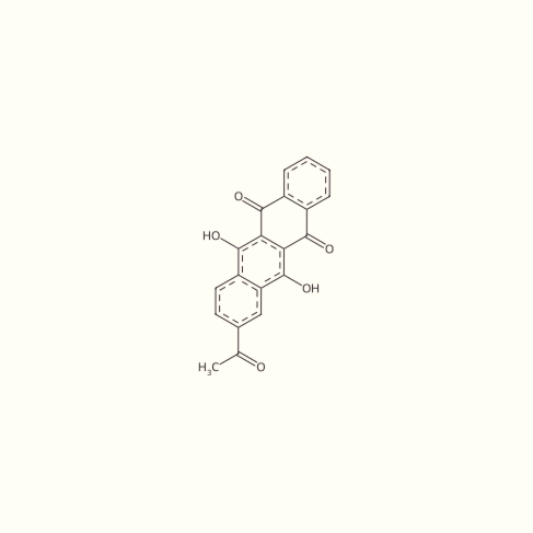 CC(=O)c1ccc2c(O)c3c(c(O)c2c1)C(=O)c1ccccc1C3=O